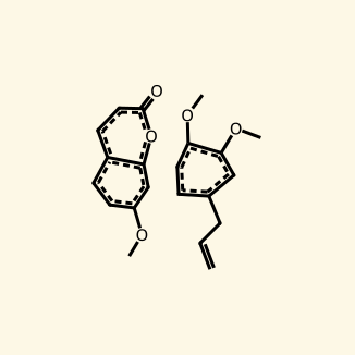 C=CCc1ccc(OC)c(OC)c1.COc1ccc2ccc(=O)oc2c1